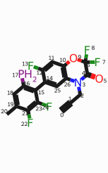 C#CCN1C(=O)C(F)(F)Oc2cc(F)c(-c3c(P)cc(C)c(F)c3F)cc21